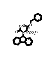 COC(=O)N(C1c2ccccc2-c2ccccc21)[C@H](C(=O)O)[C@@H](C)OCc1ccccc1